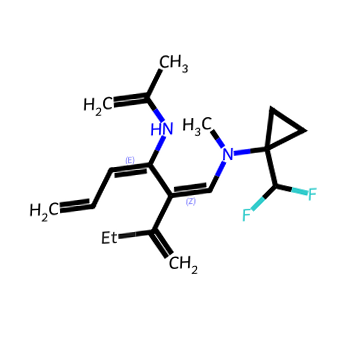 C=C/C=C(NC(=C)C)\C(=C/N(C)C1(C(F)F)CC1)C(=C)CC